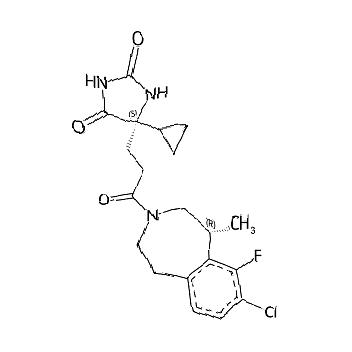 C[C@H]1CN(C(=O)CC[C@@]2(C3CC3)NC(=O)NC2=O)CCc2ccc(Cl)c(F)c21